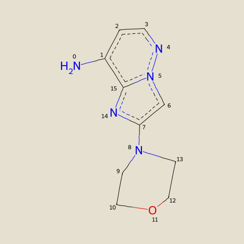 Nc1ccnn2cc(N3CCOCC3)nc12